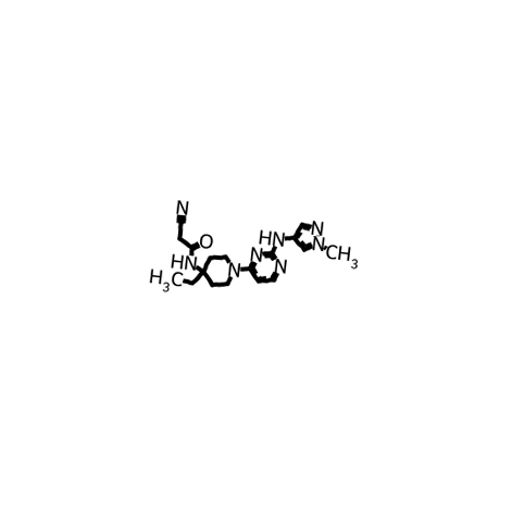 CCC1(NC(=O)CC#N)CCN(c2ccnc(Nc3cnn(C)c3)n2)CC1